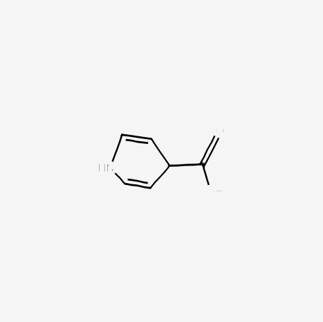 O=C(O)C1C=CNC=C1